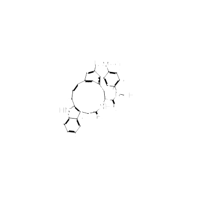 COc1ccc(N(C)C(=O)[C@@H]2Cc3cc(F)cc(c3)/C=C\Cc3[nH]c4ccccc4c3CC(=O)N2)cc1